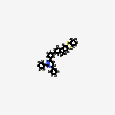 CC1(C)c2cc(-c3cccc(C4=CCC(c5ccccc5)=NC(c5ccccc5)=N4)c3)ccc2-c2cc3c(cc21)Sc1ccccc1S3